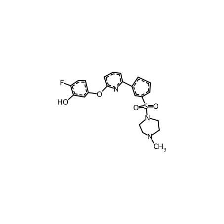 CN1CCN(S(=O)(=O)c2cccc(-c3cccc(Oc4ccc(F)c(O)c4)n3)c2)CC1